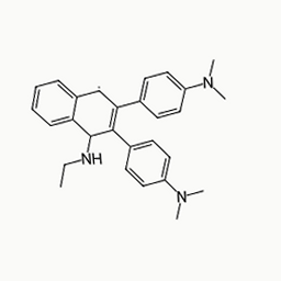 CCNC1C(c2ccc(N(C)C)cc2)=C(c2ccc(N(C)C)cc2)[CH]c2ccccc21